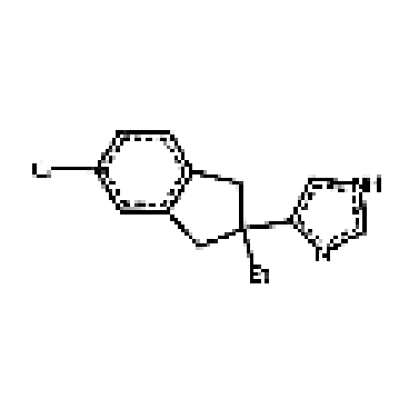 CCC1(c2c[nH]cn2)Cc2ccc(Cl)cc2C1